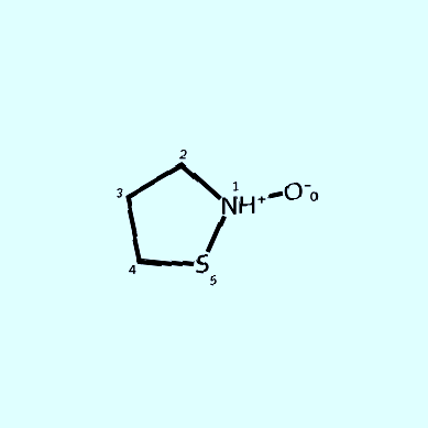 [O-][NH+]1CCCS1